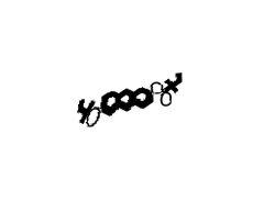 CCC(C)(C)Oc1ccc2cc3cc(OC(=O)C(C)(C)CC)ccc3cc2c1